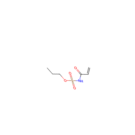 C=CC(=O)NS(=O)(=O)OCCC